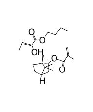 C=C(C)C(=O)OC1C[C@H]2CC[C@@]1(C)C2(C)C.CC=C(O)C(=O)OCCCC